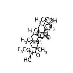 C#CN(OC(F)(F)F)C(=O)[C@@]1(C)CC[C@]2(C)CC[C@]3(C)C(=CC(=O)[C@@H]4[C@@]5(C)CC[C@H](O)C(C)(C)C5CC[C@]43C)[C@@H]2C1